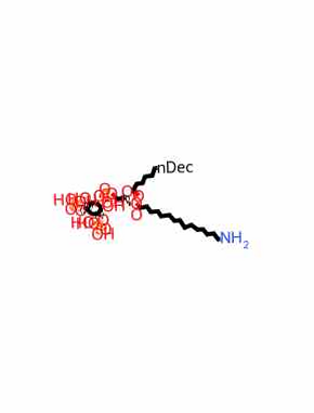 CCCCCCCCCCCCCCCC(=O)O[C@H](COC(=O)CCCCCCCCCCCCCCN)COP(=O)(O)OC1C(O)[C@H](OP(=O)(O)O)C(O)[C@H](OP(=O)(O)O)[C@@H]1O